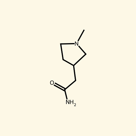 CN1CCC(CC(N)=O)C1